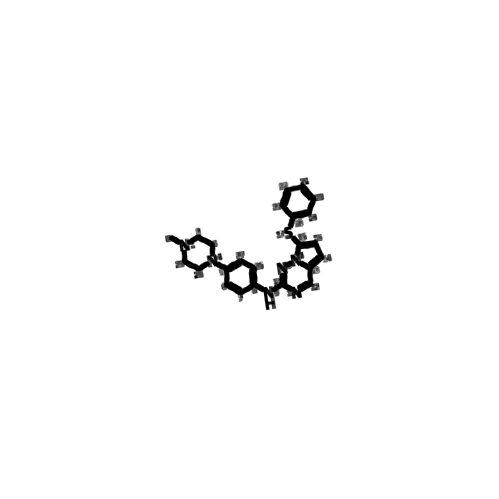 CN1CCN(c2ccc(Nc3ncc4ccc(Sc5ccccc5)n4n3)cc2)CC1